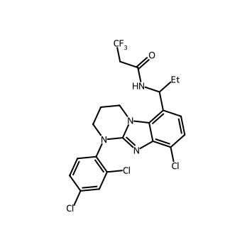 CCC(NC(=O)CC(F)(F)F)c1ccc(Cl)c2nc3n(c12)CCCN3c1ccc(Cl)cc1Cl